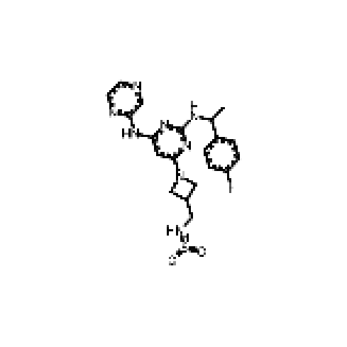 CC(Nc1nc(Nc2cnccn2)cc(N2CC(CN[SH](=O)=O)C2)n1)c1ccc(F)cc1